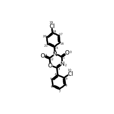 O=c1nc(-c2ccccc2Cl)oc(=O)n1-c1ccc(Cl)cc1